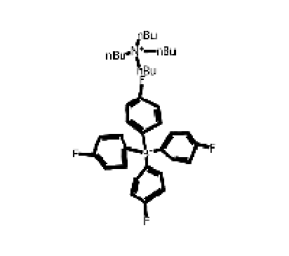 CCCC[N+](CCCC)(CCCC)CCCC.Fc1ccc([B-](c2ccc(F)cc2)(c2ccc(F)cc2)c2ccc(F)cc2)cc1